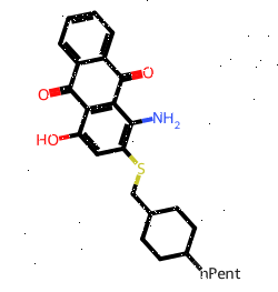 CCCCCC1CCC(CSc2cc(O)c3c(c2N)C(=O)c2ccccc2C3=O)CC1